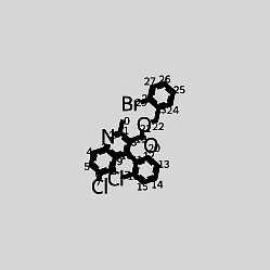 Cc1nc2ccc(Cl)cc2c(-c2ccccc2Cl)c1C(=O)OCc1ccccc1Br